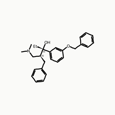 CC[C@@](O)(c1cccc(OCc2ccccc2)c1)[C@@H](Cc1ccccc1)CN(C)C